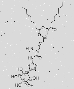 CCCCCCCC(=O)OC[C@H](CSC[C@@H](N)C(=O)Nc1cn([C@@H]2[C@H](O)[C@H](O)[C@@H](O)[C@H](O)[C@H]2O)nn1)OC(=O)CCCCCCC